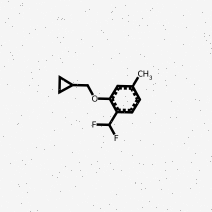 Cc1ccc(C(F)F)c(OCC2CC2)c1